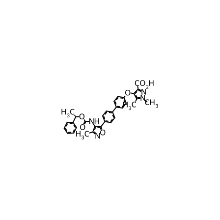 Cc1noc(-c2ccc(-c3ccc(Oc4c(C(=O)O)nn(C)c4C)cc3)cc2)c1NC(=O)O[C@H](C)c1ccccc1